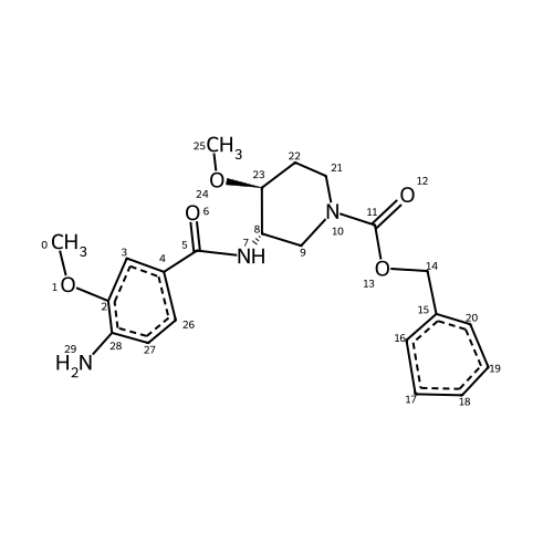 COc1cc(C(=O)N[C@H]2CN(C(=O)OCc3ccccc3)CC[C@@H]2OC)ccc1N